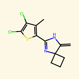 C=C1NC(c2sc(Cl)c(Cl)c2C)=NC12CCC2